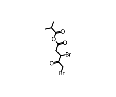 CC(C)C(=O)OC(=O)CC(Br)C(=O)CBr